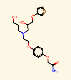 NC(=O)COc1ccc(OCCN(CCCO)CC(O)COc2ccsc2)cc1